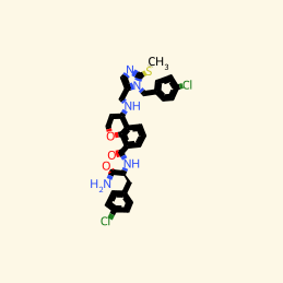 CSc1ncc(CNC2CCOc3c(C(=O)N[C@@H](Cc4ccc(Cl)cc4)C(N)=O)cccc32)n1Cc1ccc(Cl)cc1